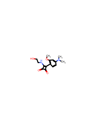 COc1cc(N(C)C)ccc1-c1c(NCCO)c(=O)c1=O